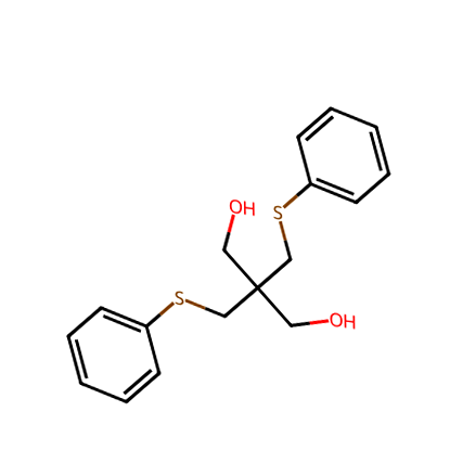 OCC(CO)(CSc1ccccc1)CSc1ccccc1